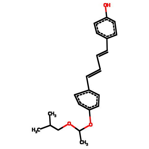 CC(C)COC(C)Oc1ccc(C=CC=Cc2ccc(O)cc2)cc1